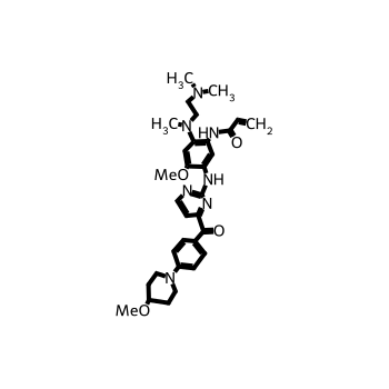 C=CC(=O)Nc1cc(Nc2nccc(C(=O)c3ccc(N4CCC(OC)CC4)cc3)n2)c(OC)cc1N(C)CCN(C)C